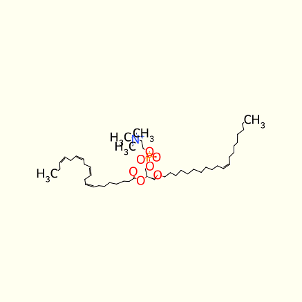 CC/C=C\C/C=C\C/C=C\C/C=C\CCCCCCC(=O)O[C@H](COCCCCCCCCCC/C=C\CCCCCCCC)COP(=O)([O-])OCC[N+](C)(C)C